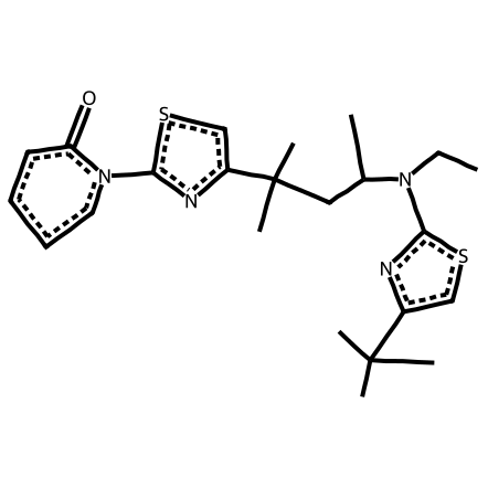 CCN(c1nc(C(C)(C)C)cs1)C(C)CC(C)(C)c1csc(-n2ccccc2=O)n1